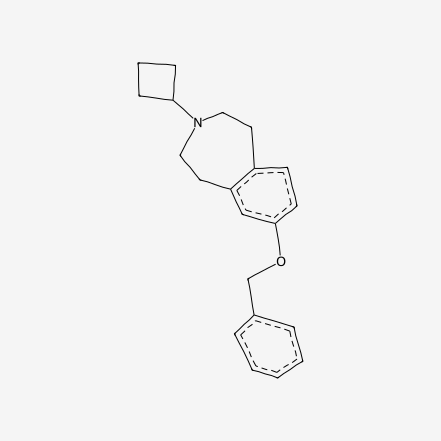 c1ccc(COc2ccc3c(c2)CCN(C2CCC2)CC3)cc1